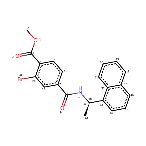 COC(=O)c1ccc(C(=O)N[C@H](C)c2cccc3ccccc23)cc1Br